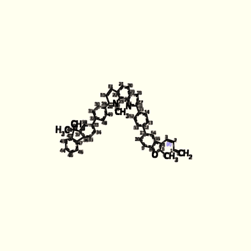 C=C/C=C\c1c(C)oc2ccc(-c3ccc(-c4ccc5ccc6c(c5n4)N(C)C(c4ccc(-c5ccc7c(c5)C(C)(C)c5ccccc5-7)cc4)C=C6)cc3)cc12